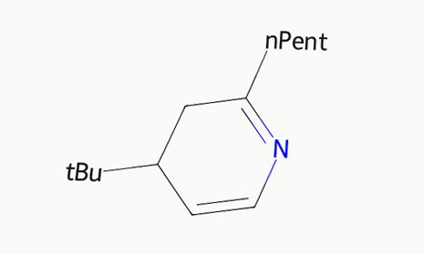 CCCCCC1=NC=CC(C(C)(C)C)C1